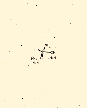 NP(=O)(O)O.[NaH].[NaH].[NaH]